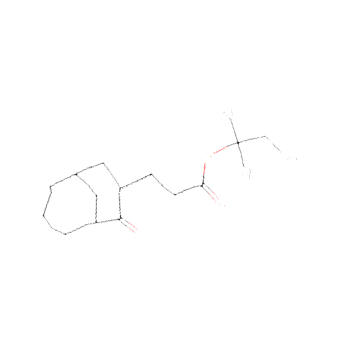 O=C(CCC1CC2CCCC(C2)C1=O)OC(CS(=O)(=O)O)(C(F)(F)F)C(F)(F)F